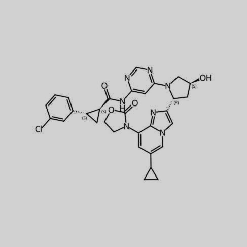 O=C(Nc1cc(N2C[C@@H](O)C[C@@H]2c2cn3cc(C4CC4)cc(N4CCOC4=O)c3n2)ncn1)[C@H]1C[C@@H]1c1cccc(Cl)c1